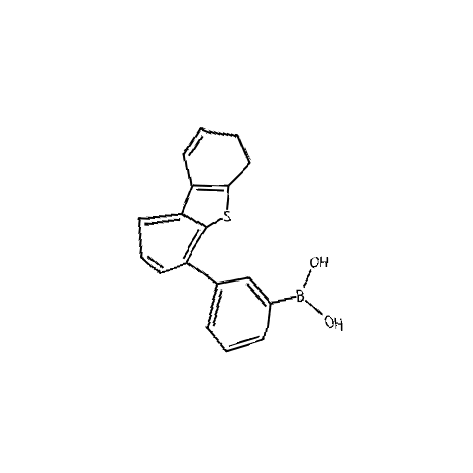 OB(O)c1cccc(-c2cccc3c4c(sc23)CCC=C4)c1